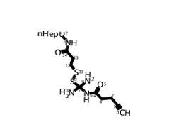 C#CCCC(=O)NC(N)(N)SSCCC(=O)NCCCCCCC